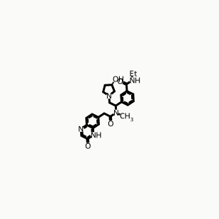 CCNC(=O)c1cccc(C(CN2CC[C@@H](O)C2)N(C)C(=O)Cc2ccc3ncc(=O)[nH]c3c2)c1